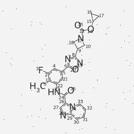 Cc1c(F)cc(-c2nc(C3CN(C(=O)OC4CC4)C3)no2)cc1NC(=O)c1cnc2ccccn12